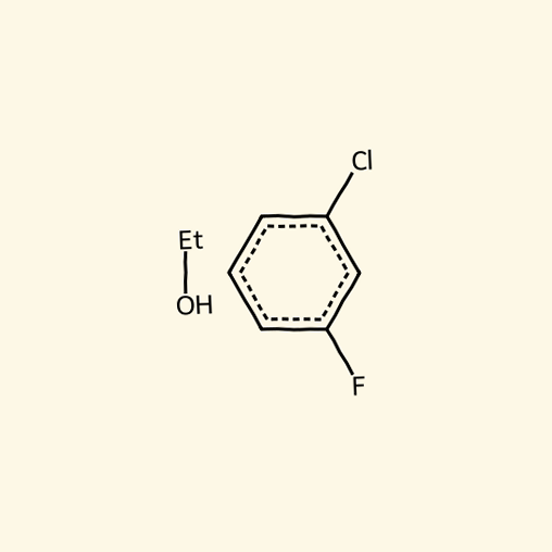 CCO.Fc1cccc(Cl)c1